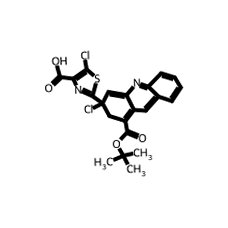 CC(C)(C)OC(=O)C1=c2cc3ccccc3nc2=CC(Cl)(c2nc(C(=O)O)c(Cl)s2)C1